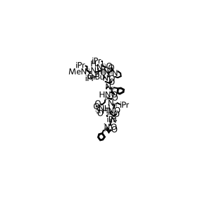 CCCCN(CC(=O)N(C)[C@@H](Cc1ccccc1)C(=O)N[C@@H](CCC(=O)NS(C)(=O)=O)C(=O)N(C)[C@@H](CC(C)C)C(=O)N[C@@H](CC(C)C)C(=O)N(C)CC(=O)N(C)[C@@]1(Cc2ccccc2)CC1=O)C(=O)[C@H](NC(=O)[C@H](CC(C)C)N(C)C(=O)[C@H](CC(C)C)NC(=O)[C@H](CC(C)C)NC)C(=O)N1CCCCC1